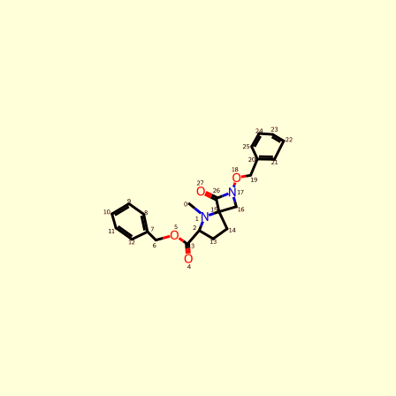 CN1C(C(=O)OCc2ccccc2)CCC12CN(OCc1ccccc1)C2=O